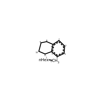 CCCCCCC.c1ccc2c(c1)CCCC2